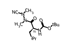 CC(C)C[C@H](NC(=O)OC(C)(C)C)C(=O)N(C)N(C)C#N